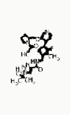 C#CC(=O)N1CCCC1COc1cnccc1-c1ccc(CNC(=O)c2cn(C(C)(C)C)nn2)c(C)c1F